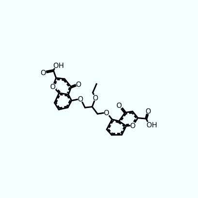 CCOC(COc1cccc2oc(C(=O)O)cc(=O)c12)COc1cccc2oc(C(=O)O)cc(=O)c12